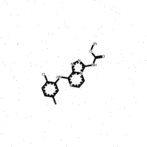 Cc1ccc(Cl)c(Nc2nccn3c(NC(=O)OC(C)C)nnc23)c1